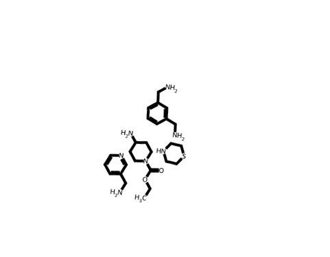 C1CSCCN1.CCOC(=O)N1CCC(N)CC1.NCc1cccc(CN)c1.NCc1cccnc1